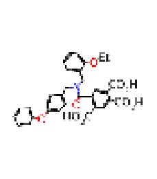 CCOc1ccccc1CN(Cc1ccc(Oc2ccccc2)cc1)C(=O)c1cc(C(=O)O)c(C(=O)O)cc1C(=O)O